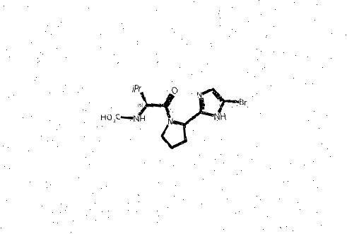 CC(C)[C@H](NC(=O)O)C(=O)N1CCCC1c1ncc(Br)[nH]1